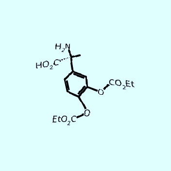 CCOC(=O)Oc1ccc([C@](C)(N)C(=O)O)cc1OC(=O)OCC